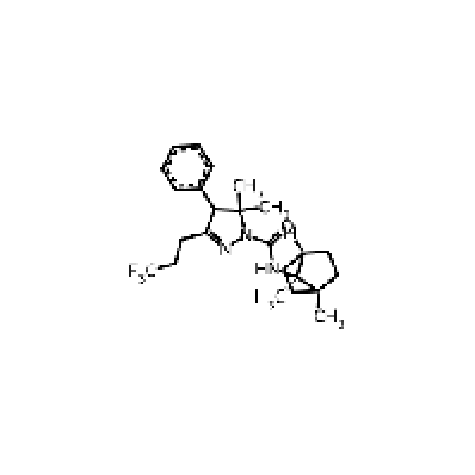 CC1(C)C(c2ccccc2)C(CCC(F)(F)F)=NN1C(=O)N[C@@]1(C)[C@H]2CC[C@]1(C)CC2